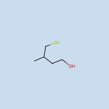 CC(CS)CCO